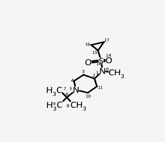 CN(C1CCN(C(C)(C)C)CC1)S(=O)(=O)C1CC1